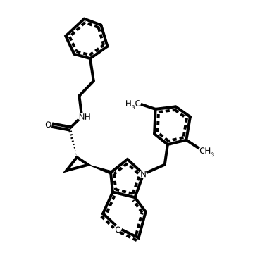 Cc1ccc(C)c(Cn2cc([C@H]3C[C@@H]3C(=O)NCCc3ccccc3)c3ccccc32)c1